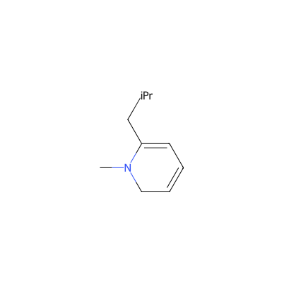 CC(C)CC1=CC=CCN1C